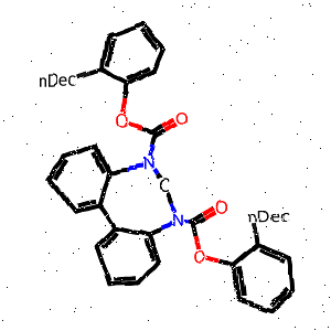 CCCCCCCCCCc1ccccc1OC(=O)N1CN(C(=O)Oc2ccccc2CCCCCCCCCC)c2ccccc2-c2ccccc21